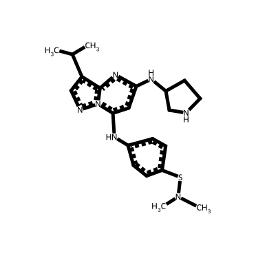 CC(C)c1cnn2c(Nc3ccc(SN(C)C)cc3)cc(NC3CCNC3)nc12